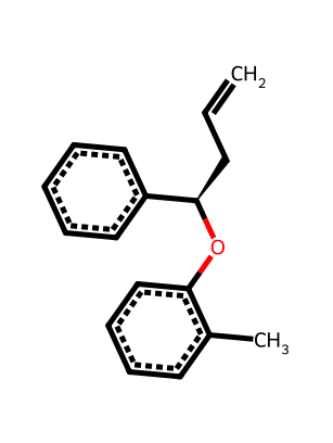 C=CC[C@@H](Oc1ccccc1C)c1ccccc1